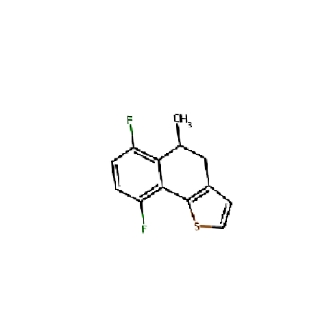 CC1Cc2ccsc2-c2c(F)ccc(F)c21